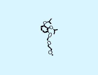 COCCOCOc1[c]ccc(OC(C)C)c1OC(C)C